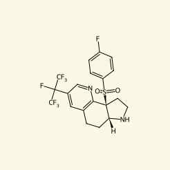 O=S(=O)(c1ccc(F)cc1)[C@@]12CCN[C@@H]1CCc1cc(C(F)(C(F)(F)F)C(F)(F)F)cnc12